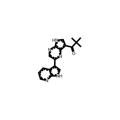 CC(C)(C)C(=O)c1c[nH]c2ncc(-c3c[nH]c4ncccc34)nc12